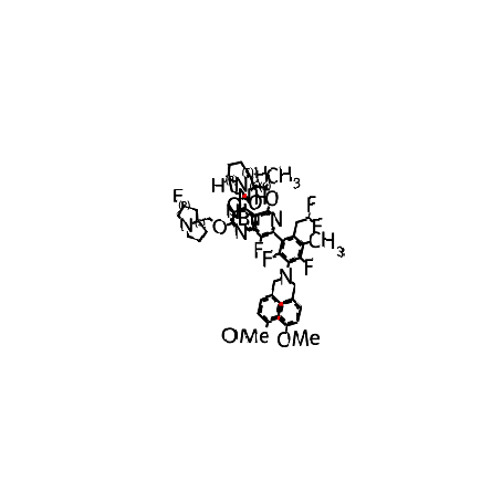 COc1ccc(CN(Cc2ccc(OC)cc2)c2c(F)c(C)c(CC(F)F)c(-c3nc4c5c(nc(OC[C@@]67CCCN6C[C@H](F)C7)nc5c3F)N3C[C@H]5CC[C@@H]([C@H]3[C@H](C)O4)N5C(=O)OC(C)(C)C)c2F)cc1